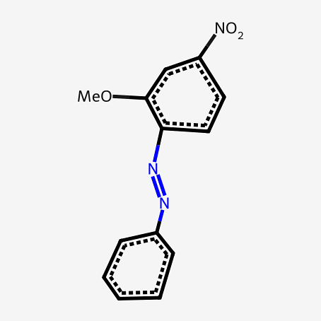 COc1cc([N+](=O)[O-])ccc1N=Nc1ccccc1